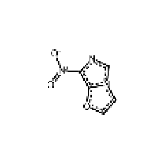 O=[N+]([O-])c1ncn2ccoc12